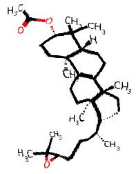 CC(=O)O[C@H]1CC[C@]2(C)C3=C(CC[C@H]2C1(C)C)[C@]1(C)CC[C@H]([C@H](C)CC[C@H]2OC2(C)C)[C@@]1(C)CC3